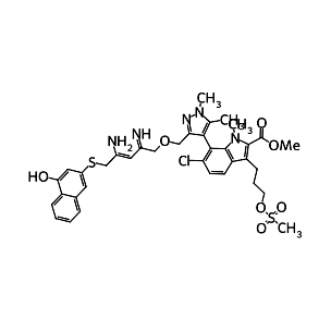 COC(=O)c1c(CCCOS(C)(=O)=O)c2ccc(Cl)c(-c3c(COCC(=N)/C=C(\N)CSc4cc(O)c5ccccc5c4)nn(C)c3C)c2n1C